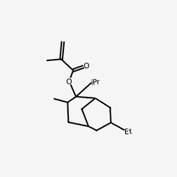 C=C(C)C(=O)OC1(C(C)C)C(C)CC2CC(CC)CC1C2